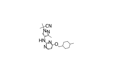 Cc1nn(C(C)(C)C#N)cc1Nc1nccc(OCC2CCC(C)CC2)n1